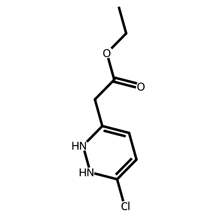 CCOC(=O)CC1=CC=C(Cl)NN1